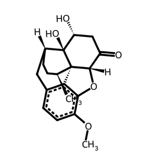 COc1ccc2c3c1O[C@H]1C(=O)C[C@@H](O)[C@@]4(O)[C@H](CC[C@H](C)[C@]314)C2